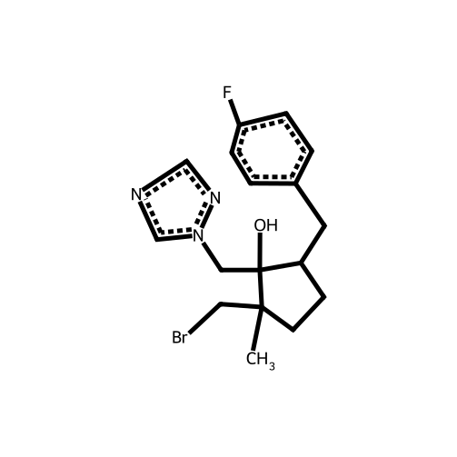 CC1(CBr)CCC(Cc2ccc(F)cc2)C1(O)Cn1cncn1